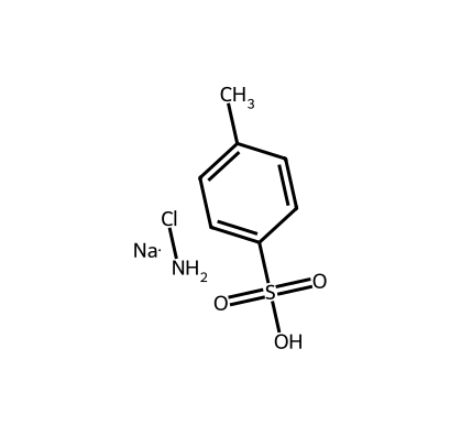 Cc1ccc(S(=O)(=O)O)cc1.NCl.[Na]